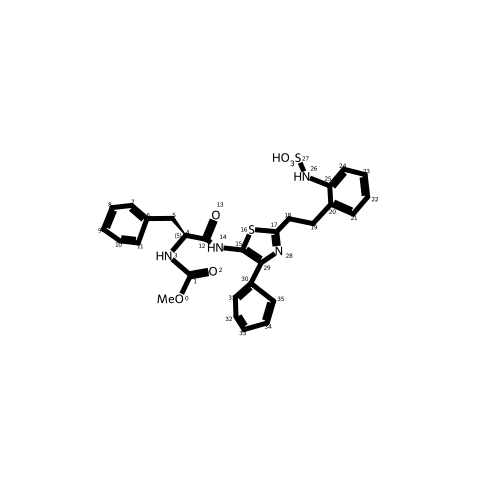 COC(=O)N[C@@H](Cc1ccccc1)C(=O)Nc1sc(CCc2ccccc2NS(=O)(=O)O)nc1-c1ccccc1